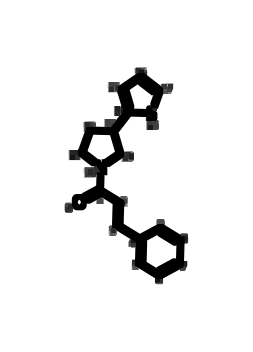 O=C(/C=C/c1ccccc1)N1CCC(c2cccs2)C1